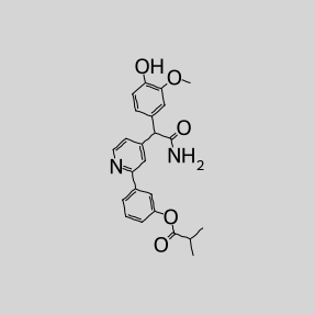 COc1cc(C(C(N)=O)c2ccnc(-c3cccc(OC(=O)C(C)C)c3)c2)ccc1O